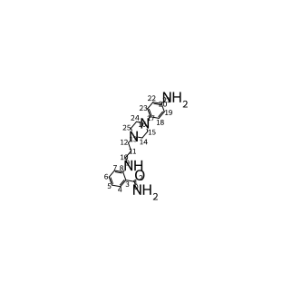 NC(=O)c1ccccc1NCCCN1CCN(c2ccc(N)cc2)CC1